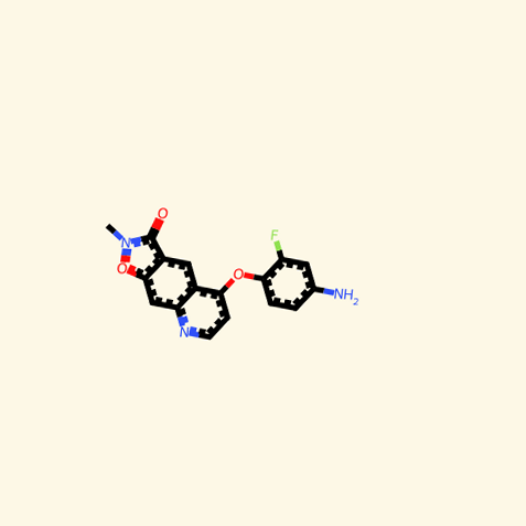 Cn1oc2cc3nccc(Oc4ccc(N)cc4F)c3cc2c1=O